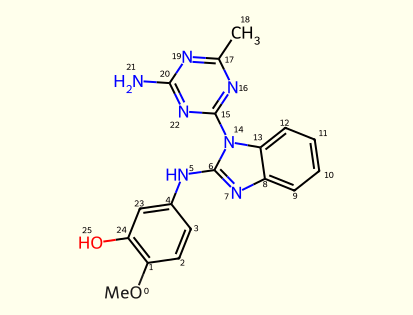 COc1ccc(Nc2nc3ccccc3n2-c2nc(C)nc(N)n2)cc1O